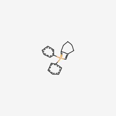 C1=C2CCCCC2=P1(c1ccccc1)c1ccccc1